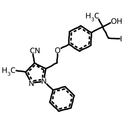 Cc1nn(-c2ccccc2)c(COc2ccc(C(C)(O)CI)cc2)c1C#N